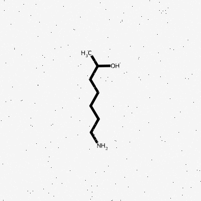 CC(O)CCCCCN